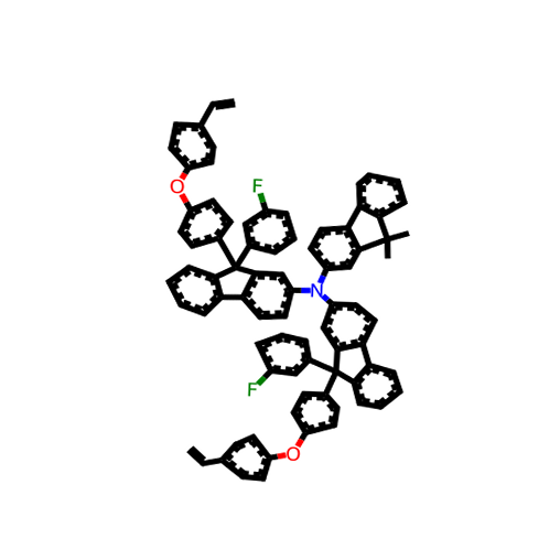 C=Cc1ccc(Oc2ccc(C3(c4cccc(F)c4)c4ccccc4-c4ccc(N(c5ccc6c(c5)C(C)(C)c5ccccc5-6)c5ccc6c(c5)C(c5ccc(Oc7ccc(C=C)cc7)cc5)(c5cccc(F)c5)c5ccccc5-6)cc43)cc2)cc1